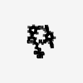 CCN(CCCCOS(=O)(=O)O)c1cccc(C)c1.N#Cc1ccc(C#N)c(N)c1